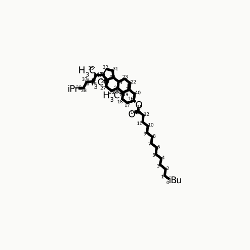 CCC(C)CCCCCCCCCCCCC(=O)OC1CC[C@@]2(C)C(=CCC3C2CC[C@@]2(C)C3CC[C@@H]2[C@H](C)CCCC(C)C)C1